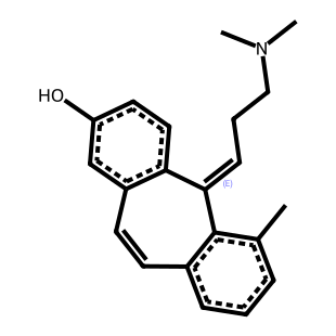 Cc1cccc2c1/C(=C/CCN(C)C)c1ccc(O)cc1C=C2